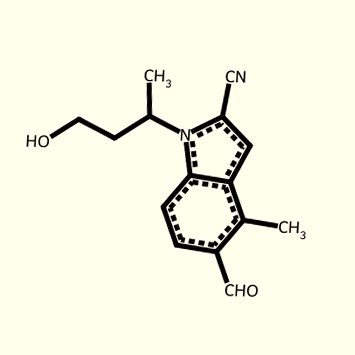 Cc1c(C=O)ccc2c1cc(C#N)n2C(C)CCO